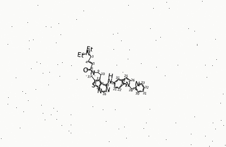 CCN(CC)C/C=C/C(=O)N1CCc2c(sc3ncnc(Nc4ccc5c(ccn5Cc5ccccn5)c4)c23)C1